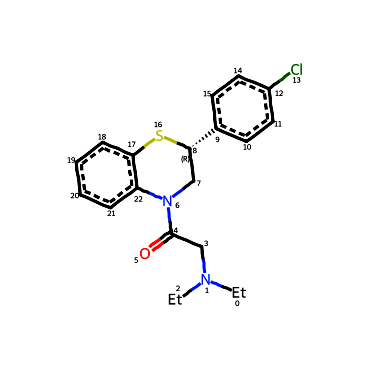 CCN(CC)CC(=O)N1C[C@@H](c2ccc(Cl)cc2)Sc2ccccc21